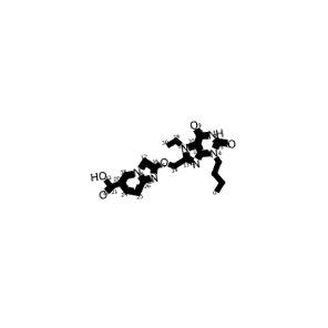 CCCCn1c(=O)[nH]c(=O)c2c1nc(COc1cn3cc(C(=O)O)ccc3n1)n2CC